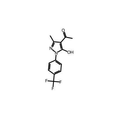 CC(=O)c1c(C)nn(-c2ccc(C(F)(F)F)cc2)c1O